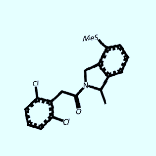 CSc1cccc2c1CN(C(=O)Cc1c(Cl)cccc1Cl)C2C